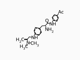 C=C(CNc1ccc(C[C@H](N)C(=O)Nc2ccc(C(C)=O)cc2)cc1)N(C)C